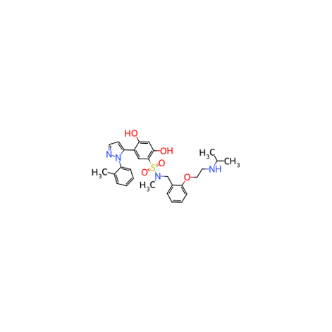 Cc1ccccc1-n1nccc1-c1cc(S(=O)(=O)N(C)Cc2ccccc2OCCNC(C)C)c(O)cc1O